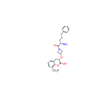 N[C@H](CSCc1ccccc1)C(=O)N1CC(OC2Cc3cccc(C(=O)O)c3OB2O)C1